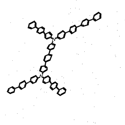 c1ccc(-c2ccc(-c3ccc(-c4ccc(N(c5ccc(-c6ccc(-c7ccccc7)cc6)cc5)c5ccc(-c6ccc(-c7ccc(N(c8ccc(-c9ccc(-c%10ccccc%10)cc9)cc8)c8ccc(-c9ccc(-c%10ccccc%10)cc9)cc8)cc7)cc6)cc5)cc4)cc3)cc2)cc1